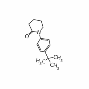 CC(C)(C)c1ccc(N2CCCCC2=O)cc1